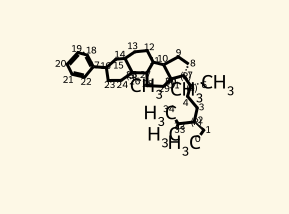 CC[C@H](CC[C@@H](C)[C@H]1CCC2C3CCC4CC(c5c[c]ccc5)CC[C@]4(C)C3CC[C@@]21C)C(C)C